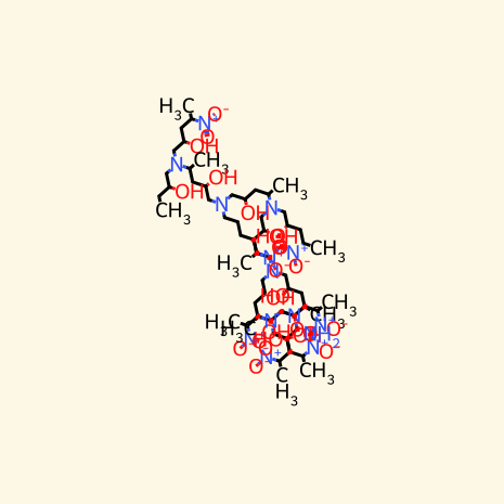 CCC(O)CN(CC(O)CC(C)[N+](=O)[O-])C(C)CC(O)CN(CCCCCCN(CC(O)CC(C)N(CC(O)CC(C)[N+](=O)[O-])CC(O)CC(C)[N+](=O)[O-])CC(O)CC(C)N(CC(O)CC(C)[N+](=O)[O-])CC(CC(C)[N+](=O)[O-])ON)CC(O)CC(C)N(CC(O)CC(C)[N+](=O)[O-])CC(O)CC(C)[N+](=O)[O-]